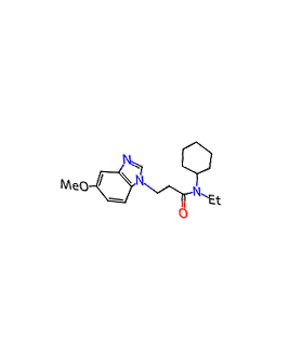 CCN(C(=O)CCn1cnc2cc(OC)ccc21)C1CCCCC1